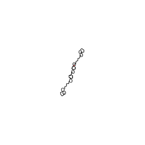 c1cc(OCCCCCCOC2CCCCO2)ccc1COc1ccc(OCCCCCCOC2CCCCO2)cc1